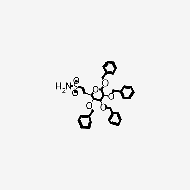 NS(=O)(=O)CC[C@H]1OC(OCc2ccccc2)[C@@H](OCc2ccccc2)[C@@H](OCc2ccccc2)[C@@H]1OCc1ccccc1